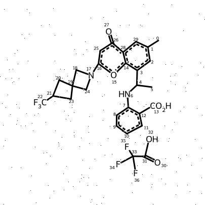 Cc1cc(C(C)Nc2ccccc2C(=O)O)c2oc(N3CC4(CC(C(F)(F)F)C4)C3)cc(=O)c2c1.O=C(O)C(F)(F)F